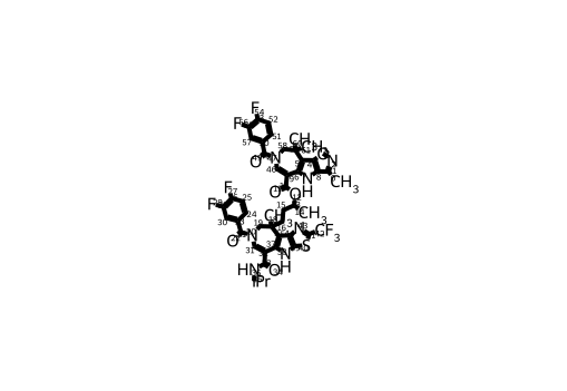 Cc1noc2c3c([nH]c12)C(C(=O)OC(C)CCC1(C)CN(C(=O)c2ccc(F)c(F)c2)C=C(C(=O)NC(C)C)c2[nH]c4sc(C(F)(F)F)nc4c21)=CN(C(=O)c1ccc(F)c(F)c1)CC3(C)C